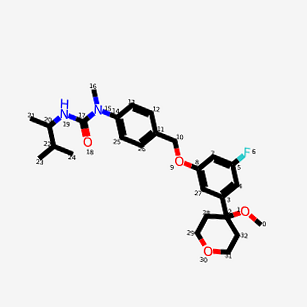 COC1(c2cc(F)cc(OCc3ccc(N(C)C(=O)NC(C)C(C)C)cc3)c2)CCOCC1